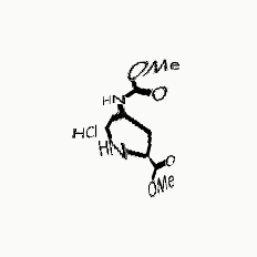 COC(=O)NC1CN[C@H](C(=O)OC)C1.Cl